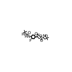 CC(C)(C)NC(=O)Nc1cc2onc(CS(=O)(=O)C3=NOC(C)(C)C3)c2cc1F